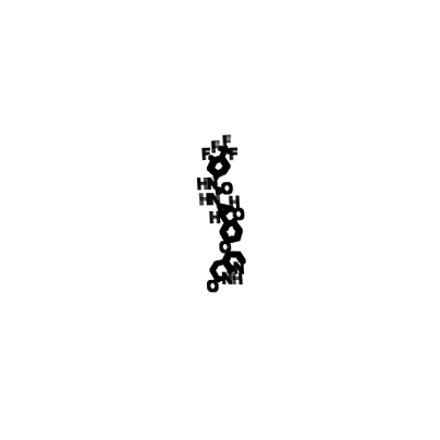 O=C1CCc2c(Oc3ccc4c(c3)[C@H]3[C@H](NC(=O)Nc5ccc(C(F)(F)F)c(F)c5)[C@H]3O4)ccnc2N1